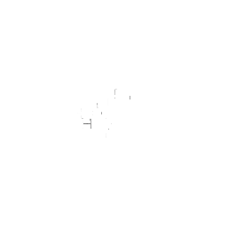 O.O.[Cl-].[Cl-].[Rh+2]